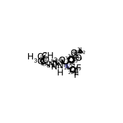 CC1(C)OC[C@H](Cn2ccc(NC(=O)/C(=C/C3CC(F)C(F)C3)c3ccc(S(=O)(=O)C4CC4)cc3)n2)O1